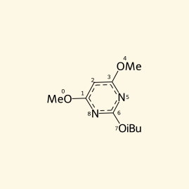 COc1cc(OC)nc(OCC(C)C)n1